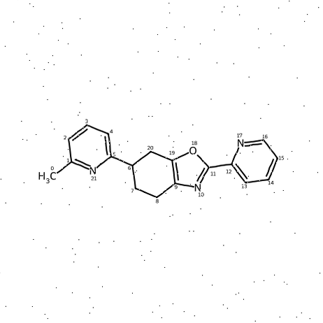 Cc1cccc(C2CCc3nc(-c4ccccn4)oc3C2)n1